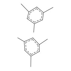 Cc1cc(C)cc(C)c1.Cc1cc(C)cc(C)c1